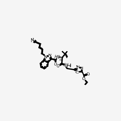 CCOC(=O)c1nnc(CNC(=O)[C@@H](NC(=O)c2nn(CCCCC#N)c3ccccc23)C(C)(C)C)o1